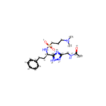 CCN(CC)CCCS(=O)(=O)N[C@H](CCc1ccccc1)c1nc(CNC(=O)C(C)C)n[nH]1